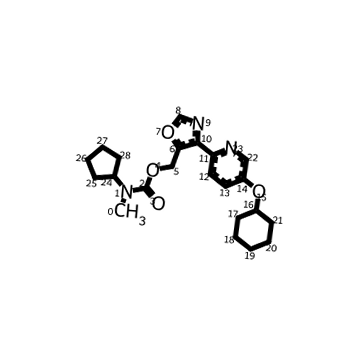 CN(C(=O)OCc1ocnc1-c1ccc(OC2CCCCC2)cn1)C1CCCC1